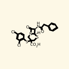 O=C(Cc1ccccc1)N[C@@H]1C(=O)N2CC(Sc3ccc(Cl)cc3Cl)(C(=O)O)CS[C@H]12